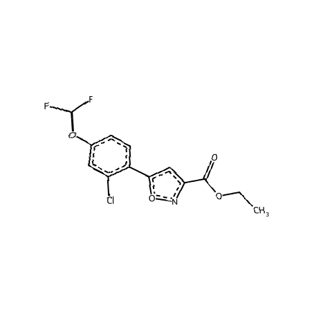 CCOC(=O)c1cc(-c2ccc(OC(F)F)cc2Cl)on1